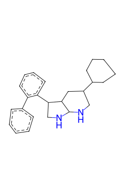 c1ccc(-c2ccccc2C2CNC3NCC(C4CCCCC4)CC32)cc1